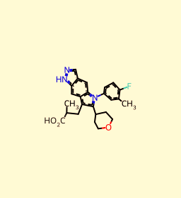 Cc1cc(-n2c(C3CCOCC3)c(CC(C)C(=O)O)c3cc4[nH]ncc4cc32)ccc1F